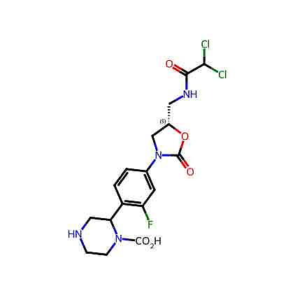 O=C(NC[C@H]1CN(c2ccc(C3CNCCN3C(=O)O)c(F)c2)C(=O)O1)C(Cl)Cl